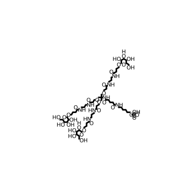 COP(=O)(O)OCCCCCCNC(=O)CCCC(=O)NC(COCCC(=O)NCCCNC(=O)CCCO[C@@H]1OC(CO)[C@@H](O)[C@H](O)C1O)(COCCC(=O)NCCCNC(=O)CCCO[C@@H]1OC(CO)[C@@H](O)[C@H](O)C1O)COCCC(=O)NCCCNC(=O)CCCO[C@@H]1OC(CO)[C@@H](O)[C@H](O)C1O